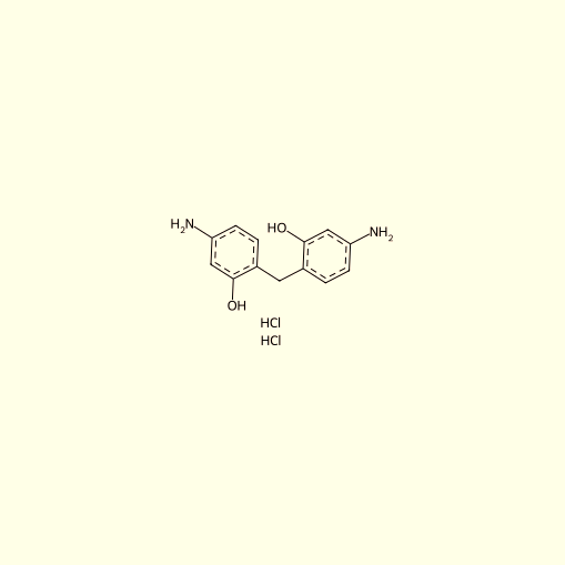 Cl.Cl.Nc1ccc(Cc2ccc(N)cc2O)c(O)c1